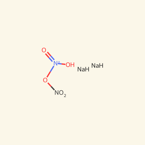 O=[N+]([O-])O[N+](=O)O.[NaH].[NaH]